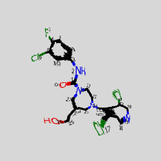 O=C(Nc1ccc(F)c(Cl)c1)N1CCN(C2=C(Cl)C=NCC2Cl)CC(CO)C1